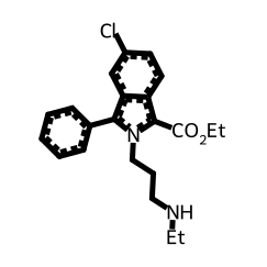 CCNCCCn1c(C(=O)OCC)c2ccc(Cl)cc2c1-c1ccccc1